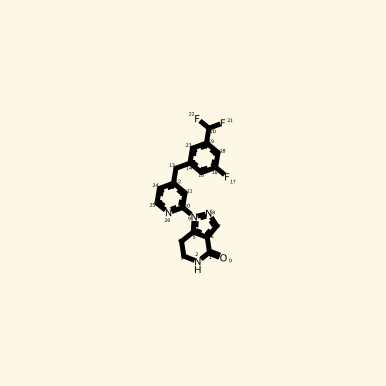 O=C1NCCc2c1cnn2-c1cc(Cc2cc(F)cc(C(F)F)c2)ccn1